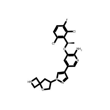 C[C@@H](Oc1cc(-c2cnn(C3COC4(CNC4)C3)c2)cnc1N)c1c(Cl)ccc(F)c1Cl